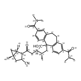 C[C@H](CC1(C(=O)O)c2ccc(C(=O)N(C)C)cc2CCc2cc(C(=O)N(C)C)ccc21)NCC(=O)N1C(C#N)C[C@@H]2C[C@@H]21